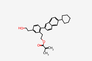 C=C(C)C(=O)OCCc1cc(CCO)ccc1-c1ccc2cc(C3CCCCC3)ccc2c1